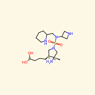 C[C@]1(N)CN(S(=O)(=O)N(CC2CCCCN2)C2CNC2)C[C@@H]1CCCB(O)O